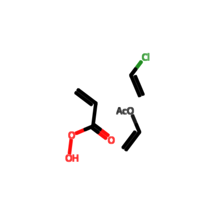 C=CC(=O)OO.C=CCl.C=COC(C)=O